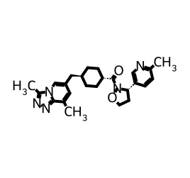 Cc1ccc([C@@H]2CCON2C(=O)[C@H]2CC[C@H](Cc3cc(C)c4nnc(C)n4c3)CC2)cn1